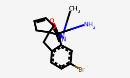 CN1C(=O)C2(N=C1N)c1cc(Br)ccc1CC21CC=CC1